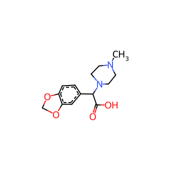 CN1CCN(C(C(=O)O)c2ccc3c(c2)OCO3)CC1